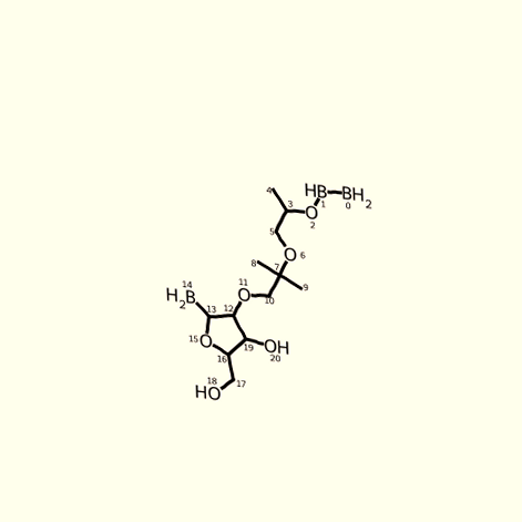 BBOC(C)COC(C)(C)COC1C(B)OC(CO)C1O